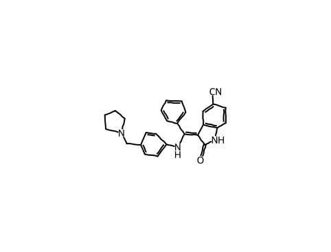 N#Cc1ccc2c(c1)/C(=C(/Nc1ccc(CN3CCCC3)cc1)c1ccccc1)C(=O)N2